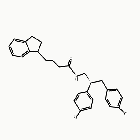 O=C(CCCC1CCc2ccccc21)NC[C@H](Cc1ccc(Cl)cc1)c1ccc(Cl)cc1